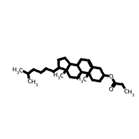 CCC(=O)OC1CCC2(C)C(=CCC3C2CCC2(C)C(CCCCC(C)C)CCC32)C1